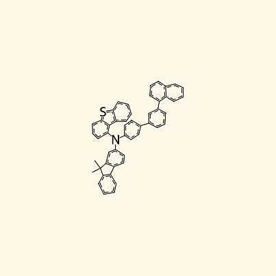 CC1(C)c2ccccc2-c2ccc(N(c3ccc(-c4cccc(-c5cccc6ccccc56)c4)cc3)c3cccc4sc5ccccc5c34)cc21